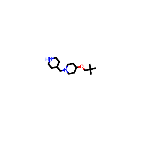 CC(C)(C)COC1CCN(CC2CCNCC2)CC1